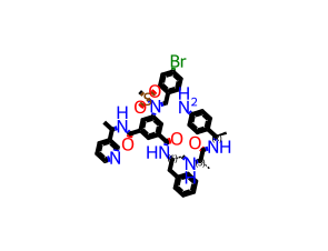 CC(NC(=O)c1cc(C(=O)N[C@H](CN[C@@H](C)C(=O)N[C@H](C)c2ccc(N)cc2)Cc2ccccc2)cc(N(Cc2ccc(Br)cc2)S(C)(=O)=O)c1)c1cccnc1